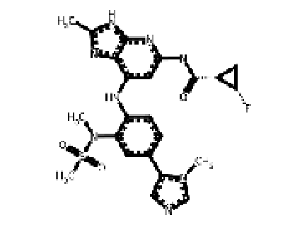 Cc1nc2c(Nc3ccc(-c4cncn4C)cc3N(C)S(C)(=O)=O)cc(NC(=O)[C@@H]3C[C@@H]3F)nc2[nH]1